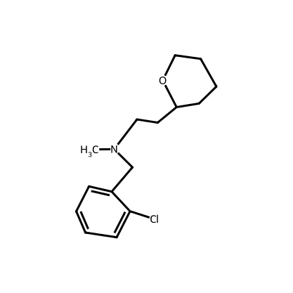 CN(CCC1CCCCO1)Cc1ccccc1Cl